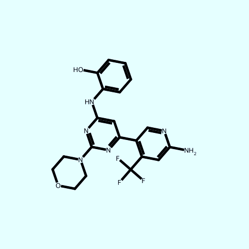 Nc1cc(C(F)(F)F)c(-c2cc(Nc3ccccc3O)nc(N3CCOCC3)n2)cn1